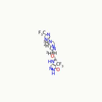 [2H]C([2H])(OC[C@H](C)Nc1cn[nH]c(=O)c1C(F)(F)F)c1cc2n(n1)CCN(c1cnc(C(F)(F)F)cn1)C2([2H])[2H]